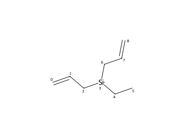 C=CC[Si](CC)CC=C